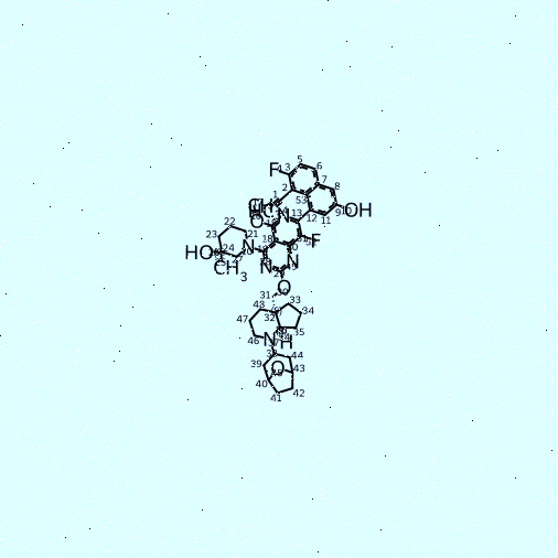 C#Cc1c(F)ccc2cc(O)cc(-c3nc(OC)c4c(N5CCC[C@@](C)(O)C5)nc(OC[C@]56CCC[C@H]5N(C5CC7CCC(C5)O7)CCC6)nc4c3F)c12